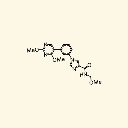 COCNC(=O)c1cn(-c2cccc(-c3cnc(OC)nc3OC)c2)cn1